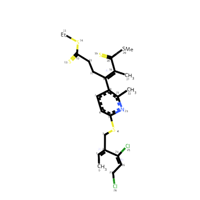 C/C=C(CSc1ccc(/C(CCC(=S)SCC)=C(\C)C(=S)SC)c(C)n1)\C(Cl)=C/CCl